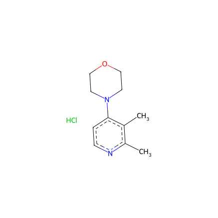 Cc1nccc(N2CCOCC2)c1C.Cl